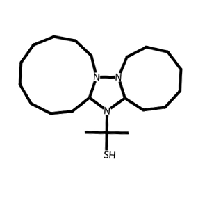 CC(C)(S)N1C2CCCCCCCCCN2N2CCCCCCCC21